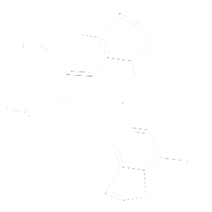 CNS(=O)(=O)C(=Cc1c(C)cccc1OCc1cc(Br)c2occc2c1)SC